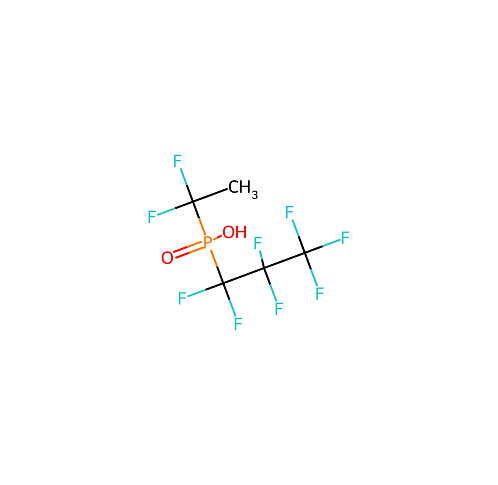 CC(F)(F)P(=O)(O)C(F)(F)C(F)(F)C(F)(F)F